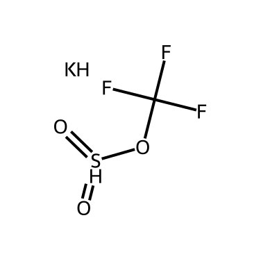 O=[SH](=O)OC(F)(F)F.[KH]